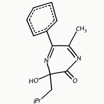 CC1=NC(=O)C(O)(CC(C)C)N=C1c1ccccc1